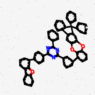 c1ccc(-c2nc(-c3ccc(-c4cccc5c4oc4ccccc45)cc3)nc(-c3cccc(-c4cccc5c4Oc4cc6c(cc4O5)C(c4ccccc4)(c4ccccc4)c4ccccc4-6)c3)n2)cc1